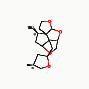 C[C@@H]1COC(CC23C4C[C@@H](C(C)(C)C)C25CCOC5OC3CO4)C1